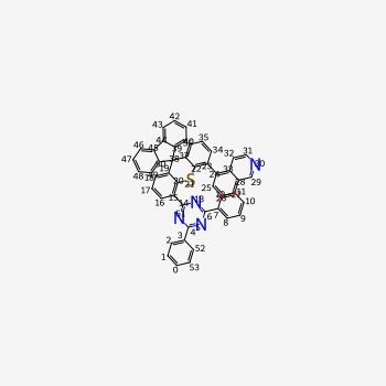 c1ccc(-c2nc(-c3ccccc3)nc(-c3cccc4c3Sc3c(-c5cccc6cnccc56)cccc3C43c4ccccc4-c4ccccc43)n2)cc1